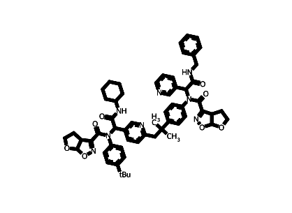 CC(C)(C)c1ccc(N(C(=O)C2=NOC3OCCC23)C(C(=O)NC2CCCCC2)c2ccc(CC(C)(C)c3ccc(N(C(=O)C4=NOC5OCCC45)C(C(=O)NCc4ccccc4)c4cccnc4)cc3)nc2)cc1